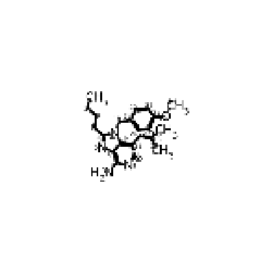 CCCCc1nc2c(N)nnc(CC(C)C)c2n1Cc1ccc(OC)cc1